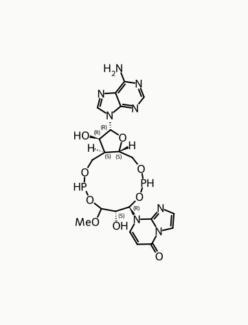 COC1OPOC[C@H]2[C@@H](O)[C@H](n3cnc4c(N)ncnc43)O[C@@H]2COPO[C@@H](n2ccc(=O)n3ccnc23)[C@@H]1O